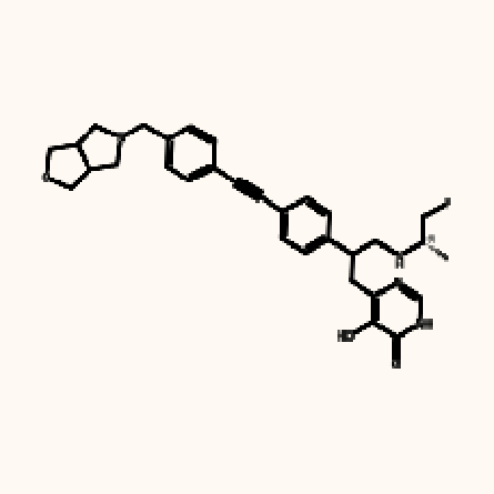 C[C@@H](CF)NCC(Cc1nc[nH]c(=O)c1O)c1ccc(C#Cc2ccc(CN3CC4COCC4C3)cc2)cc1